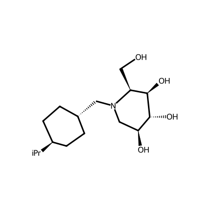 CC(C)[C@H]1CC[C@H](CN2C[C@H](O)[C@@H](O)[C@H](O)[C@@H]2CO)CC1